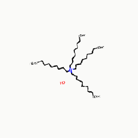 CCCCCCCCCCCCCCCCCC[N+](CCCCCCCCCCCCCCCCCC)(CCCCCCCCCCCCCCCCCC)CCCCCCCCCCCCCCCCCC.[OH-]